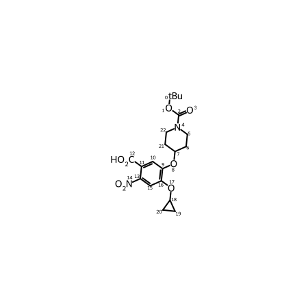 CC(C)(C)OC(=O)N1CCC(Oc2cc(C(=O)O)c([N+](=O)[O-])cc2OC2CC2)CC1